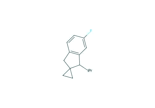 CC(C)C1c2cc(F)ccc2CC12CC2